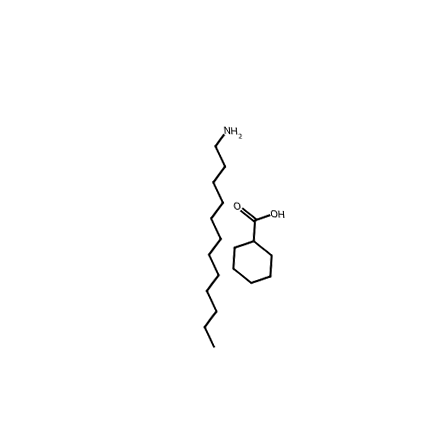 CCCCCCCCCCCCN.O=C(O)C1CCCCC1